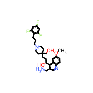 COc1ccc2ncc(CN)c([C@H](O)CCC3(CO)CCN(CCCc4c(F)cc(F)cc4F)CC3)c2c1